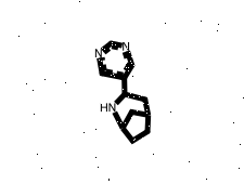 c1ncc(C2CC3CCC(C3)N2)cn1